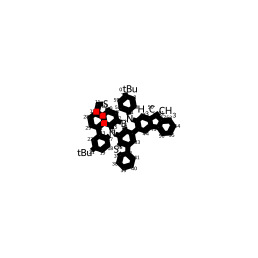 CC(C)(C)c1ccc(N2B3c4cc5sccc5cc4N(c4ccc(C(C)(C)C)cc4-c4ccccc4)c4c3c(cc3c4sc4ccccc43)-c3cc4c(cc32)C(C)(C)c2ccccc2-4)cc1